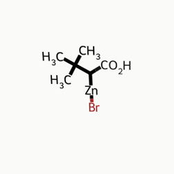 CC(C)(C)[CH]([Zn][Br])C(=O)O